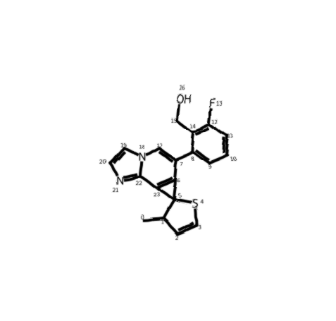 CC1C=CSC12c1c(-c3cccc(F)c3CO)cn3ccnc3c12